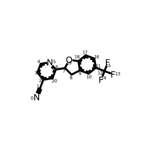 N#Cc1ccnc(C2Cc3cc(C(F)(F)F)ccc3O2)c1